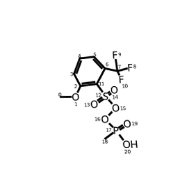 COc1cccc(C(F)(F)F)c1S(=O)(=O)OOP(C)(=O)O